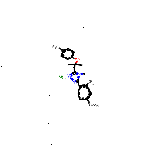 COc1ccc(-c2nnc(C(C)(C)Oc3ccc(C(F)(F)F)cc3)n2C)c(C(F)(F)F)c1.Cl